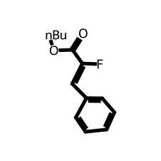 CCCCOC(=O)C(F)=Cc1ccccc1